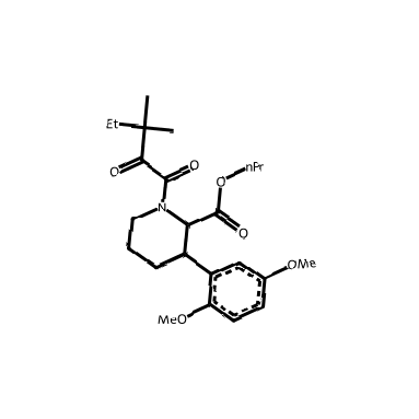 CCCOC(=O)C1C(c2cc(OC)ccc2OC)CCCN1C(=O)C(=O)C(C)(C)CC